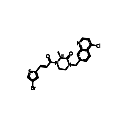 C[C@H]1C(=O)N(Cc2ccc3c(Cl)ccnc3c2)CCN1C(=O)C=Cc1cc(Br)cs1